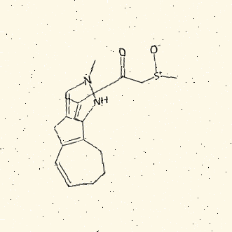 CN1NC23C=C(C(=O)C[S+](C)[O-])CC1=C2CC1=C3CCCC=C1